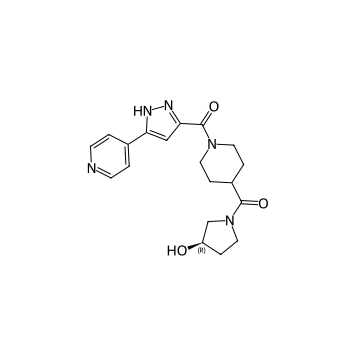 O=C(c1cc(-c2ccncc2)[nH]n1)N1CCC(C(=O)N2CC[C@@H](O)C2)CC1